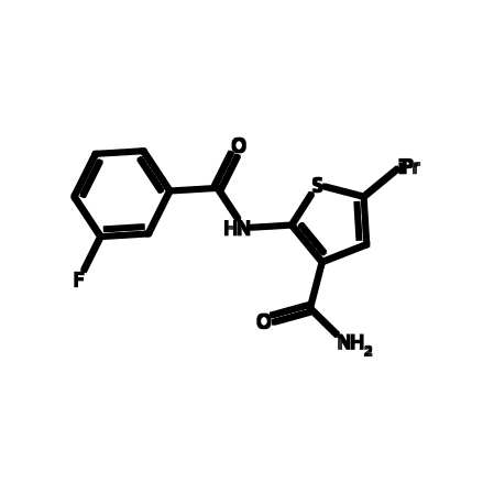 CC(C)c1cc(C(N)=O)c(NC(=O)c2cccc(F)c2)s1